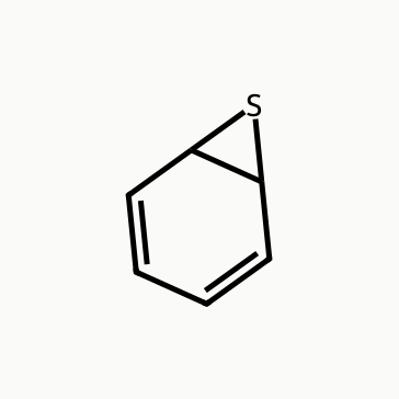 C1=CC2SC2C=C1